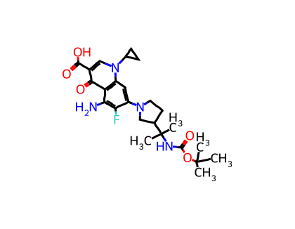 CC(C)(C)OC(=O)NC(C)(C)C1CCN(c2cc3c(c(N)c2F)c(=O)c(C(=O)O)cn3C2CC2)C1